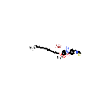 Br.CCCCCCCCCCCCCCCCOc1ccc(NC(=O)c2ccc(CN3C=CSC3)cc2)cc1OC